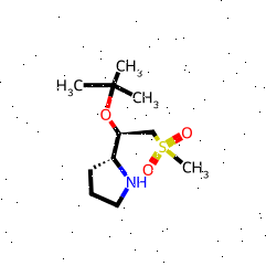 CC(C)(C)O[C@@H](CS(C)(=O)=O)[C@H]1CCCN1